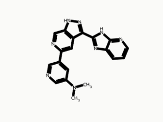 CN(C)c1cncc(-c2cc3c(-c4nc5cccnc5[nH]4)n[nH]c3cn2)c1